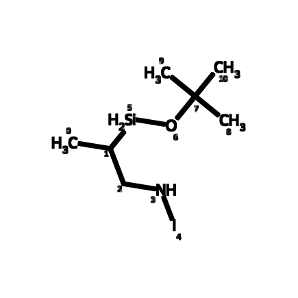 CC(CNI)[SiH2]OC(C)(C)C